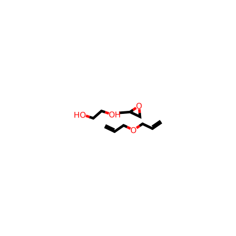 C=CCOCC=C.CC1CO1.OCCO